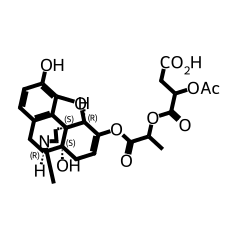 CC(=O)OC(CC(=O)O)C(=O)OC(C)C(=O)OC1=CC[C@@]2(O)[C@H]3Cc4ccc(O)c5c4[C@@]2(CCN3C)[C@H]1O5